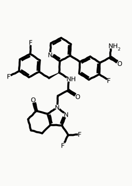 NC(=O)c1cc(-c2cccnc2[C@H](Cc2cc(F)cc(F)c2)NC(=O)Cn2nc(C(F)F)c3c2C(=O)CCC3)ccc1F